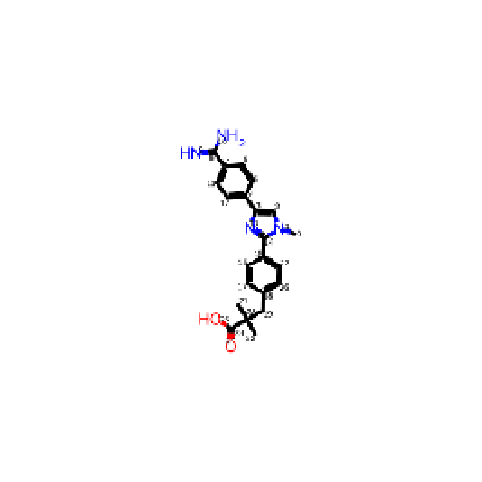 Cn1cc(-c2ccc(C(=N)N)cc2)nc1-c1ccc(CC(C)(C)C(=O)O)cc1